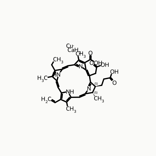 C=Cc1c(C)c2cc3nc(c(CC(=O)O)c4nc(cc5[nH]c(cc1[nH]2)c(C)c5CC)C(C)=C4C(=O)O)[C@@H](CCC(=O)O)[C@@H]3C.[CaH2].[Cu]